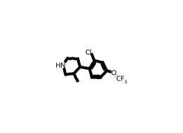 CC1CNCCC1c1ccc(OC(F)(F)F)cc1Cl